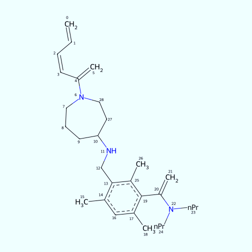 C=C/C=C\C(=C)N1CCCC(NCc2c(C)cc(C)c(C(=C)N(CCC)CCC)c2C)CC1